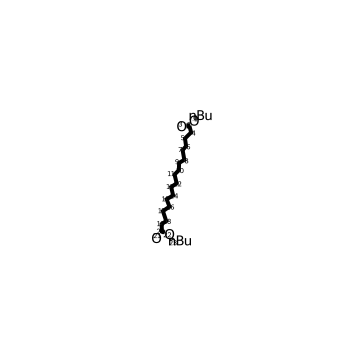 CCCCOC(=O)CCCCCCCCCCCCCCCCC(=O)OCCCC